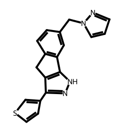 c1cnn(Cc2ccc3c(c2)-c2[nH]nc(-c4ccsc4)c2C3)c1